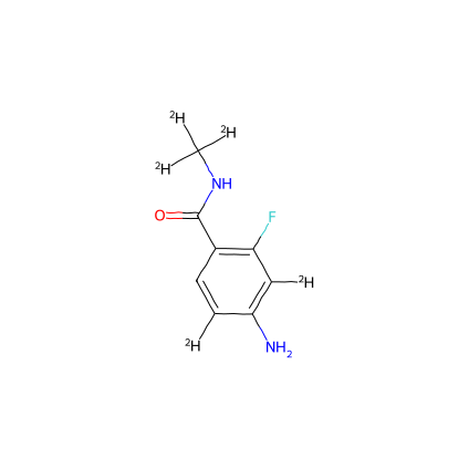 [2H]c1cc(C(=O)NC([2H])([2H])[2H])c(F)c([2H])c1N